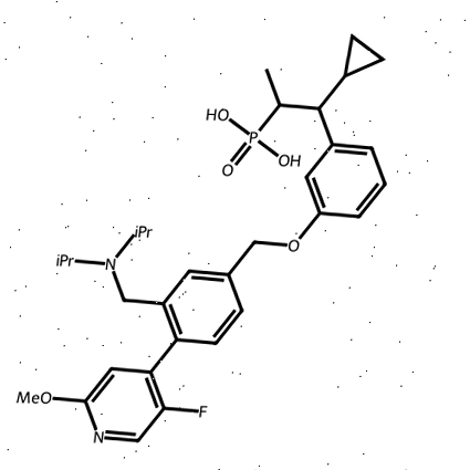 COc1cc(-c2ccc(COc3cccc(C(C4CC4)C(C)P(=O)(O)O)c3)cc2CN(C(C)C)C(C)C)c(F)cn1